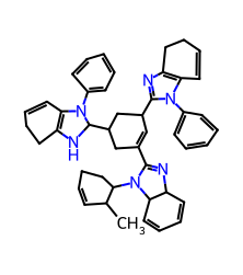 CC1C=CCCC1N1C(C2=CC(c3nc4c(n3-c3ccccc3)C=CCC4)CC(C3NC4=C(C=CCC4)N3c3ccccc3)C2)=NC2C=CC=CC21